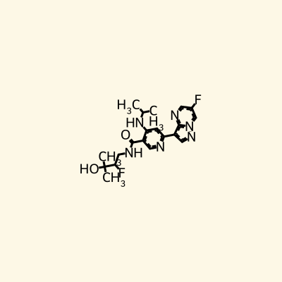 CC(C)Nc1cc(-c2cnn3cc(F)cnc23)ncc1C(=O)NCC(F)C(C)(C)O